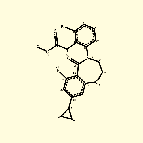 COC(=O)Cc1c(Br)cccc1N1CCOc2cc(C3CC3)cc(F)c2C1=O